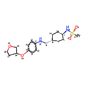 CC(C)S(=O)(=O)N[C@H]1CC[C@H](CNc2ccc(OC3CCOC3)cc2)CC1